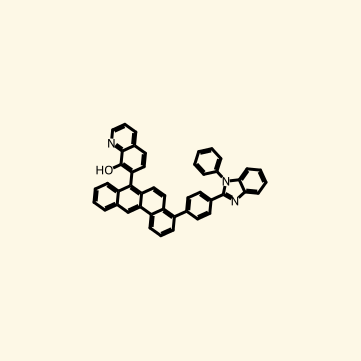 Oc1c(-c2c3ccccc3cc3c2ccc2c(-c4ccc(-c5nc6ccccc6n5-c5ccccc5)cc4)cccc23)ccc2cccnc12